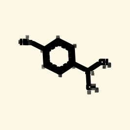 CN(C)c1cc[c]([SnH])cc1